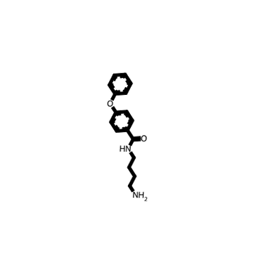 NCCCCNC(=O)c1ccc(Oc2ccccc2)cc1